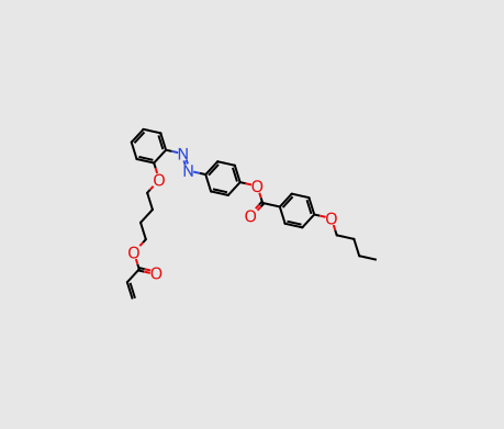 C=CC(=O)OCCCCOc1ccccc1N=Nc1ccc(OC(=O)c2ccc(OCCCC)cc2)cc1